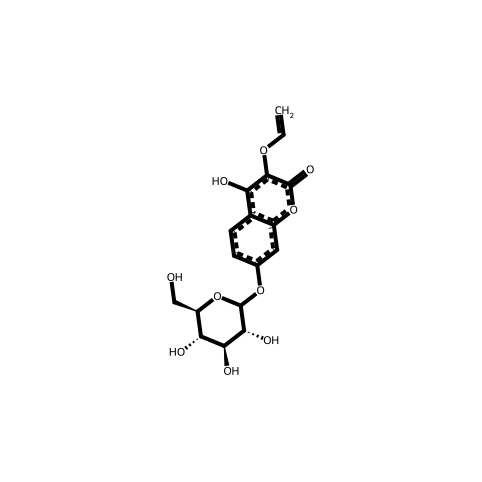 C=COc1c(O)c2ccc(OC3O[C@H](CO)[C@@H](O)[C@H](O)[C@H]3O)cc2oc1=O